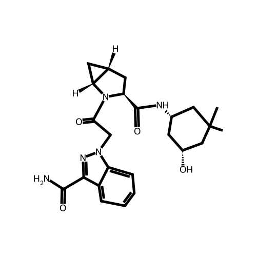 CC1(C)C[C@H](O)C[C@H](NC(=O)[C@@H]2C[C@H]3C[C@H]3N2C(=O)Cn2nc(C(N)=O)c3ccccc32)C1